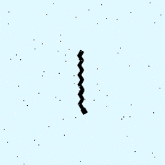 C#CCC/C=C/CCCCCCC=C